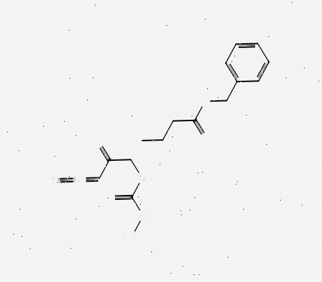 CC(C)(C)OC(=O)N[C@@H](CCCC(=O)OCc1ccccc1)C(=O)C=[N+]=[N-]